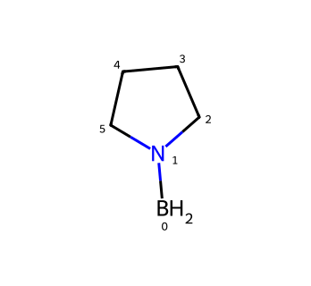 BN1CCCC1